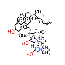 CC(C)CCC[C@@H](C)[C@H]1CC[C@H]2[C@@H]3CC=C4C[C@@H](O)CC[C@]4(C)[C@H]3CC[C@]12C.C[N+](C)(C)CCO.C[N+](C)(C)CCO.O=C([O-])CCC(=O)[O-]